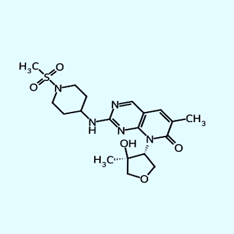 Cc1cc2cnc(NC3CCN(S(C)(=O)=O)CC3)nc2n([C@@H]2COC[C@@]2(C)O)c1=O